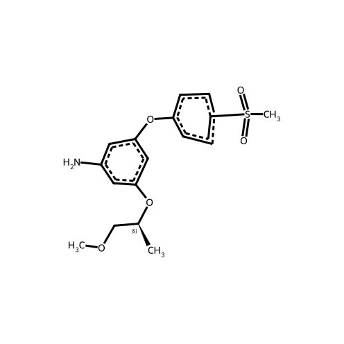 COC[C@H](C)Oc1cc(N)cc(Oc2ccc(S(C)(=O)=O)cc2)c1